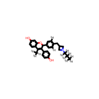 [2H]c1cc(C2Oc3cc(O)ccc3C(C([2H])([2H])[2H])=C2c2ccc(O)cc2)cc([2H])c1CC1CN(C([2H])([2H])C([2H])([2H])C([2H])([2H])[2H])C1